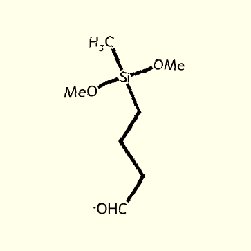 CO[Si](C)(CCC[C]=O)OC